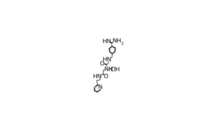 Cl.N=C(N)c1ccc(CNCC(=O)NCC(=O)NCCc2ccccn2)cc1